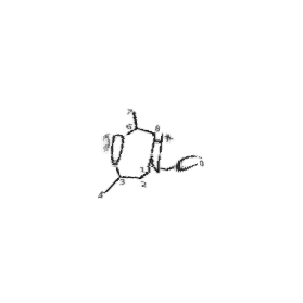 [CH2-][NH+]1CC(C)OC(C)C1